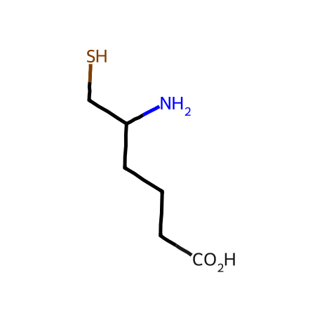 NC(CS)CCCC(=O)O